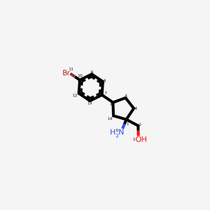 NC1(CO)CCC(c2ccc(Br)cc2)C1